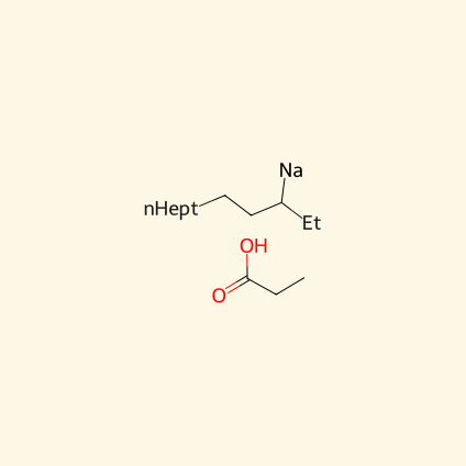 CCC(=O)O.CCCCCCCCC[CH]([Na])CC